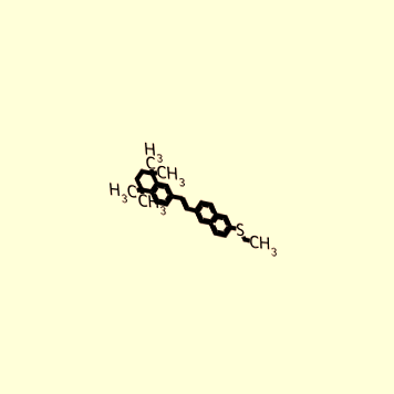 CCSc1ccc2cc(C=Cc3ccc4c(c3)C(C)(C)CCC4(C)C)ccc2c1